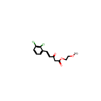 O=NOCCOC(=O)CC(=O)C=Cc1cccc(Cl)c1Cl